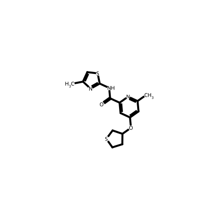 Cc1cc(OC2CCSC2)cc(C(=O)Nc2nc(C)cs2)n1